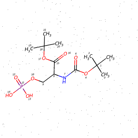 CC(C)(C)OC(=O)NC(COP(=O)(O)O)C(=O)OC(C)(C)C